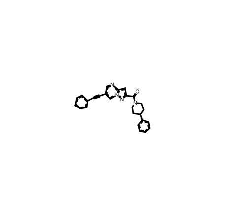 O=C(c1cc2ncc(C#Cc3ccccc3)cn2n1)N1CCC(c2ccccc2)CC1